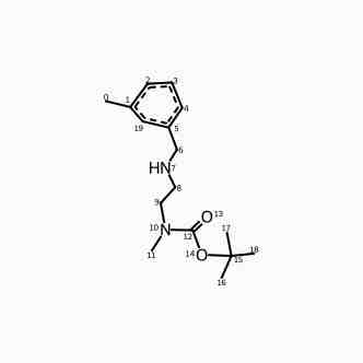 Cc1cccc(CNCCN(C)C(=O)OC(C)(C)C)c1